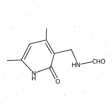 Cc1cc(C)c(CNC=O)c(=O)[nH]1